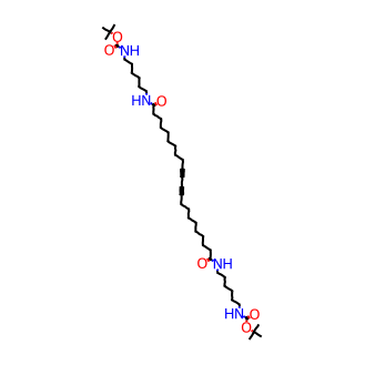 CC(C)(C)OC(=O)NCCCCCCNC(=O)CCCCCCCCC#CC#CCCCCCCCCC(=O)NCCCCCCNC(=O)OC(C)(C)C